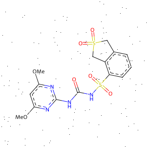 COc1cc(OC)nc(NC(=O)NS(=O)(=O)c2cccc3c2CS(=O)(=O)C3)n1